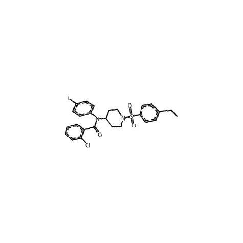 CCc1ccc(S(=O)(=O)N2CCC(N(C(=O)c3ccccc3Cl)c3ccc(I)cc3)CC2)cc1